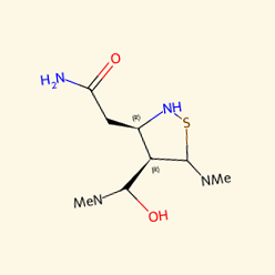 CNC(O)[C@@H]1C(NC)SN[C@@H]1CC(N)=O